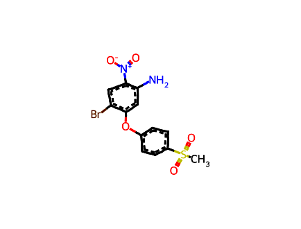 CS(=O)(=O)c1ccc(Oc2cc(N)c([N+](=O)[O-])cc2Br)cc1